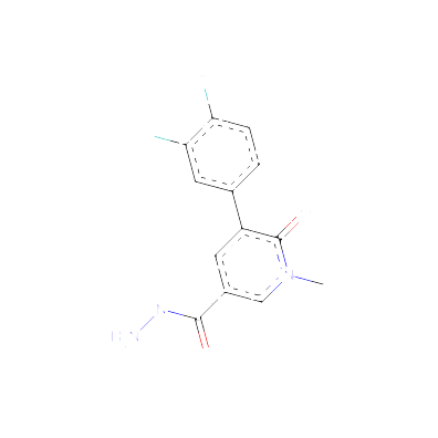 Cn1cc(C(=O)NN)cc(-c2ccc(F)c(F)c2)c1=O